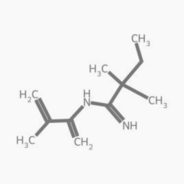 C=C(C)C(=C)NC(=N)C(C)(C)CC